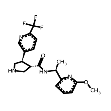 COc1cccc([C@H](C)NC(=O)[C@@H]2CNC[C@H]2c2ccc(C(F)(F)F)nc2)n1